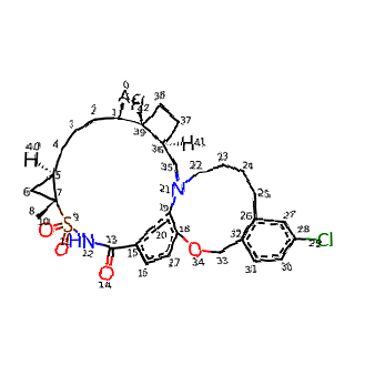 CC(=O)[C@@H]1CCC[C@@H]2C[C@@]2(C)S(=O)(=O)NC(=O)c2ccc3c(c2)N(CCCCc2cc(Cl)ccc2CO3)C[C@@H]2CC[C@H]21